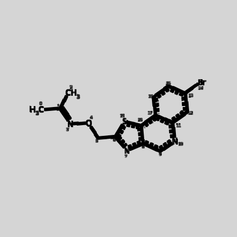 CC(C)=NOCc1nc2cnc3cc(Br)ccc3c2s1